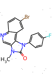 Cn1c(=O)n(-c2ccc(F)cc2)c2c3cc(Br)ccc3ncc21